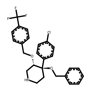 FC(F)(F)c1ccc(CO[C@H]2CNCC[C@@]2(OCc2ccccc2)c2ccc(Cl)cc2)cc1